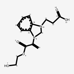 C=C(C(=O)OCCO)N1CN(CCC(=O)O)c2ccccc21